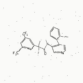 Cc1ccccc1-c1ccncc1N(C)C(=O)C(C)(C)c1cc(C(F)(F)F)cc(C(F)(F)F)c1